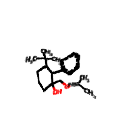 C[SiH](C)OCC1(O)CCCC(C(C)(C)C)C1c1ccccc1